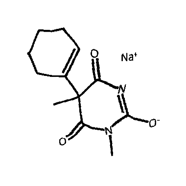 CN1C(=O)C(C)(C2=CCCCC2)C(=O)N=C1[O-].[Na+]